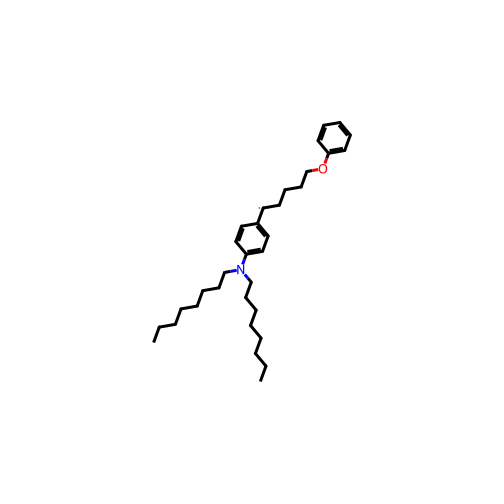 CCCCCCCCN(CCCCCCCC)c1ccc([CH]CCCCOc2ccccc2)cc1